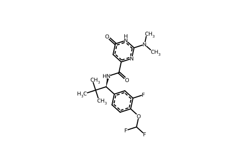 CN(C)c1nc(C(=O)N[C@@H](c2ccc(OC(F)F)c(F)c2)C(C)(C)C)cc(=O)[nH]1